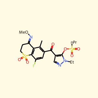 CCCS(=O)(=O)Oc1c(C(=O)c2cc(F)c3c(c2C)C(=NOC)CCS3(=O)=O)cnn1CC